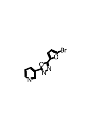 Brc1ccc(-c2nnc(-c3cccnc3)o2)o1